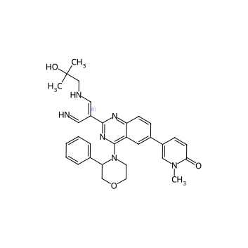 Cn1cc(-c2ccc3nc(/C(C=N)=C/NCC(C)(C)O)nc(N4CCOCC4c4ccccc4)c3c2)ccc1=O